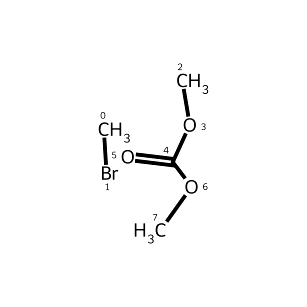 CBr.COC(=O)OC